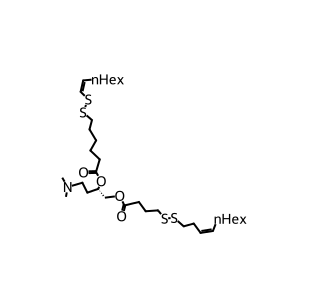 CCCCCC/C=C\CCSSCCCC(=O)OC[C@H](CCN(C)C)OC(=O)CCCCCSS/C=C\CCCCCC